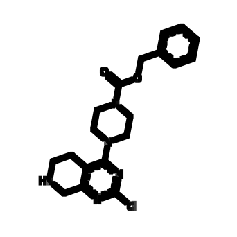 O=C(OCc1ccccc1)N1CCN(c2nc(Cl)nc3c2CCNC3)CC1